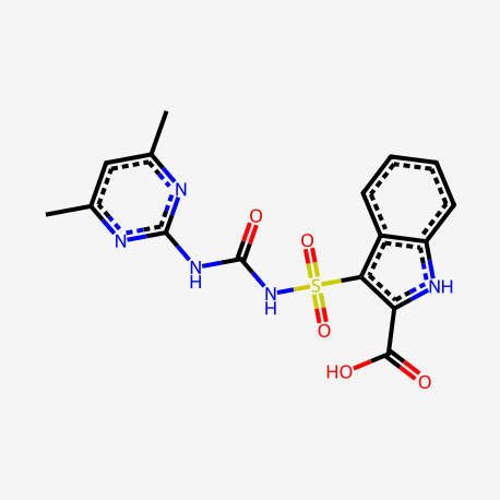 Cc1cc(C)nc(NC(=O)NS(=O)(=O)c2c(C(=O)O)[nH]c3ccccc23)n1